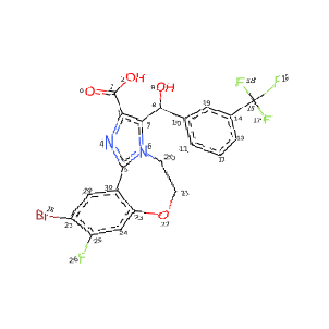 O=C(O)c1nc2n(c1C(O)c1cccc(C(F)(F)F)c1)CCOc1cc(F)c(Br)cc1-2